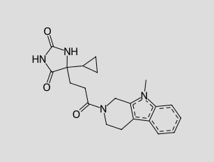 Cn1c2c(c3ccccc31)CCN(C(=O)CCC1(C3CC3)NC(=O)NC1=O)C2